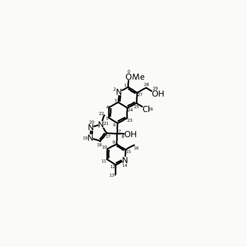 COc1nc2ccc(C(O)(c3ccc(C)nc3C)c3cnnn3C)cc2c(Cl)c1CO